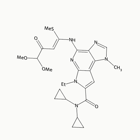 CCn1c(C(=O)N(C2CC2)C2CC2)cc2c3c(ncn3C)c(NC(=CC(=O)C(OC)OC)SC)nc21